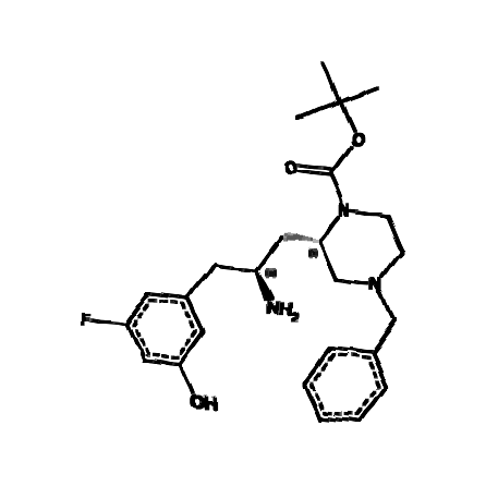 CC(C)(C)OC(=O)N1CCN(Cc2ccccc2)C[C@@H]1C[C@@H](N)Cc1cc(O)cc(F)c1